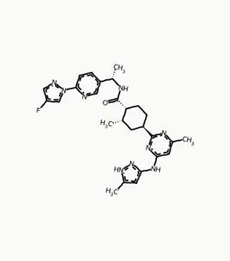 Cc1cc(Nc2cc(C)[nH]n2)nc([C@@H]2CC[C@@H](C(=O)N[C@@H](C)c3ccc(-n4cc(F)cn4)nc3)[C@@H](C)C2)n1